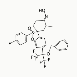 CC1CC(c2ccc(C(OCc3ccccc3)(C(F)(F)F)C(F)(F)F)cc2)(S(=O)(=O)c2ccc(F)cc2)CCC1=NO